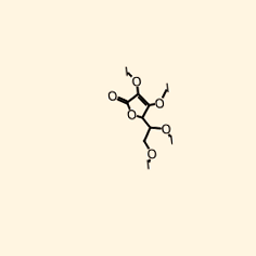 O=C1OC(C(COI)OI)C(OI)=C1OI